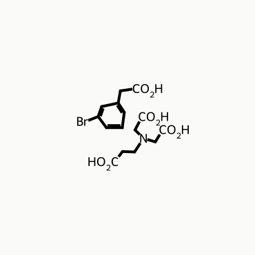 O=C(O)CCN(CC(=O)O)CC(=O)O.O=C(O)Cc1cccc(Br)c1